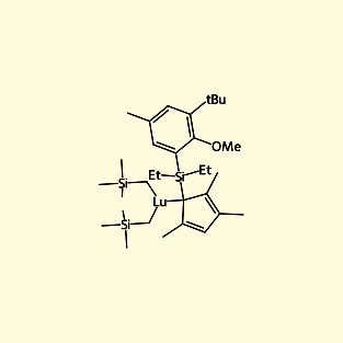 CC[Si](CC)(c1cc(C)cc(C(C)(C)C)c1OC)[C]1([Lu]([CH2][Si](C)(C)C)[CH2][Si](C)(C)C)C(C)=CC(C)=C1C